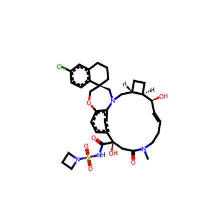 CN1CC/C=C/[C@H](O)[C@@H]2CC[C@H]2CN2C[C@@]3(CCCc4cc(Cl)ccc43)COc3ccc(cc32)[C@@](O)(C(=O)NS(=O)(=O)N2CCC2)CC1=O